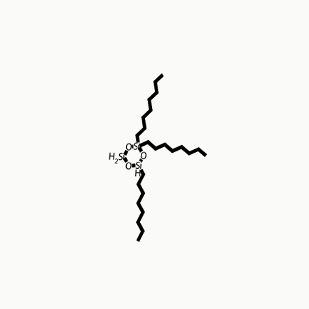 CCCCCCCC[SiH]1O[SiH2]O[Si](CCCCCCCC)(CCCCCCCC)O1